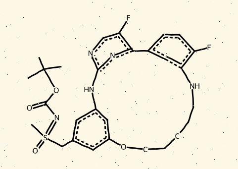 CC(C)(C)OC(=O)N=S(C)(=O)Cc1cc2cc(c1)OCCCCCNc1cc(ccc1F)-c1nc(ncc1F)N2